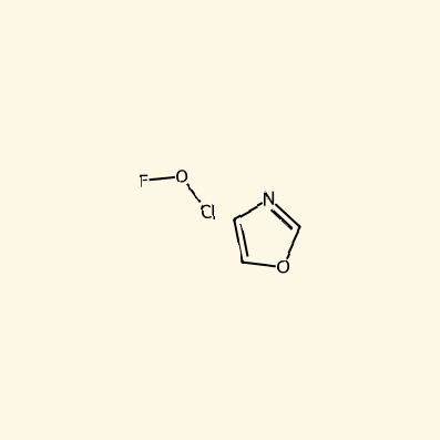 FOCl.c1cocn1